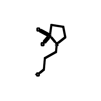 [O]CCCN1CCCS1(=O)=O